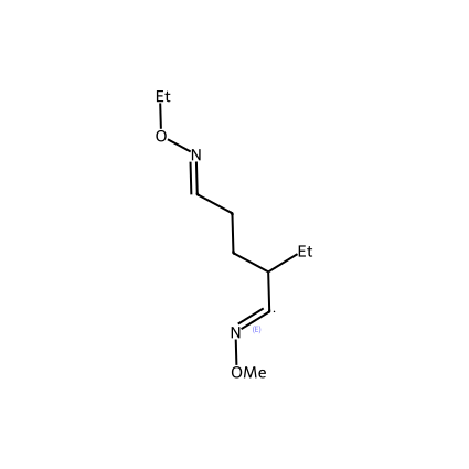 CCON=CCCC(/[C]=N/OC)CC